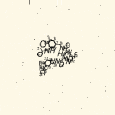 O=C1COc2ccc(CNC(=O)c3cc(C(=O)NCc4ccc(F)c(C(F)(F)F)c4)n4ncc(F)c4n3)cc2N1